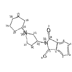 O=C1c2ccccc2C(=O)N1C1CCN(C2CCCCC2)C1